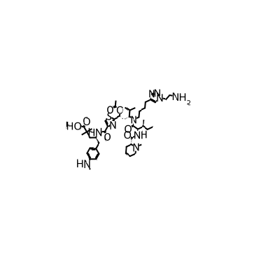 CC[C@H](C)[C@H](NC(=O)[C@H]1CCCCN1C)C(=O)N(CCCCc1cn(CCN)nn1)[C@H](C[C@@H](OC(C)=O)c1nc(C(=O)N[C@@H](Cc2ccc(NC)cc2)CC(C)(C)C(=O)O)cs1)C(C)C